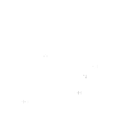 O/N=C1\Cc2ccccc2Oc2cc(O)cc(O)c21